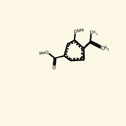 C=C(C)c1ccc(C(=O)OC)cc1OC